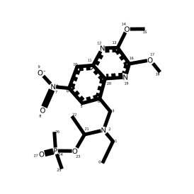 CCN(Cc1cc([N+](=O)[O-])cc2nc(OC)c(OC)nc12)C(C)OP(C)(C)=O